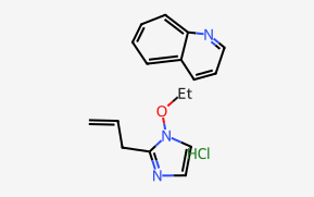 C=CCc1nccn1OCC.Cl.c1ccc2ncccc2c1